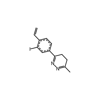 C=Cc1ccc(C2=NN=C(C)CC2)cc1I